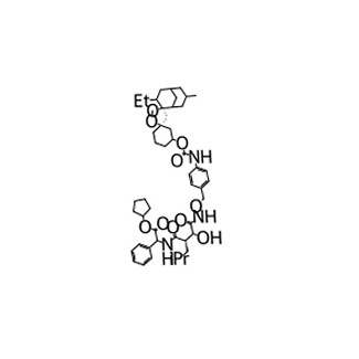 CCC1CC2CC(C)CC(C2)[C@]12C[C@]1(CCCC(OC(=O)Nc3ccc(CONC(=O)[C@@H](O)[C@@H](CC(C)C)C(=O)N[C@H](C(=O)OC4CCCC4)c4ccccc4)cc3)C1)OO2